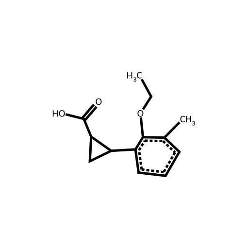 CCOc1c(C)cccc1C1CC1C(=O)O